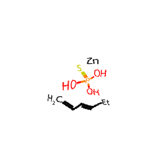 C=CC=CCC.OP(O)(O)=S.[Zn]